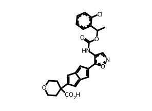 CC(OC(=O)Nc1cnoc1C1=CC2=CC(C3(C(=O)O)CCOCC3)=CC2=C1)c1ccccc1Cl